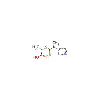 CC(SC(=S)N(C)c1ccncc1)C(=O)O